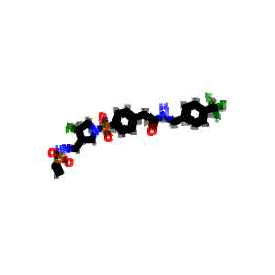 C=CS(=O)(=O)NCC1CN(S(=O)(=O)c2ccc(CC(=O)NCc3ccc(C(F)(F)F)cc3)cc2)CC1F